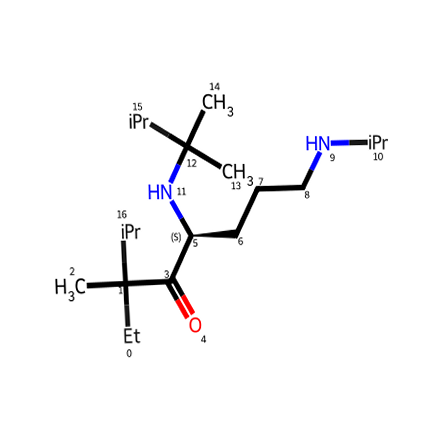 CCC(C)(C(=O)[C@H](CCCNC(C)C)NC(C)(C)C(C)C)C(C)C